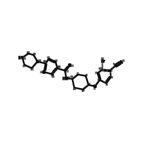 N#Cc1ccc(OC2CCC(NC(=O)c3ccc(N4CCNCC4)nn3)CC2)cc1Br